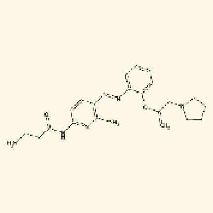 C=C(CN1CCCC1)Oc1ccccc1/N=N/c1ccc(NC(=O)CCN)nc1N